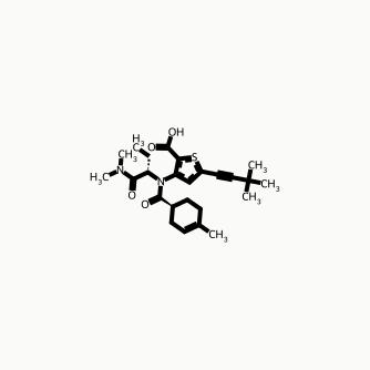 CC[C@@H](C(=O)N(C)C)N(C(=O)[C@@H]1CC=C(C)CC1)c1cc(C#CC(C)(C)C)sc1C(=O)O